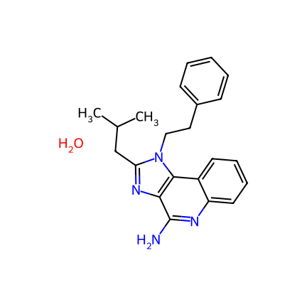 CC(C)Cc1nc2c(N)nc3ccccc3c2n1CCc1ccccc1.O